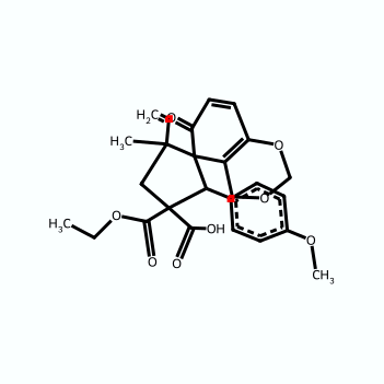 C=CC1(C)CC(C(=O)O)(C(=O)OCC)C(c2ccc(OC)cc2)C12C(=O)C=CC1=C2COCO1